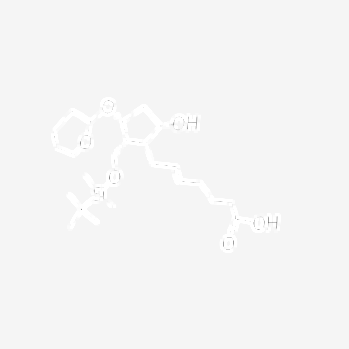 CC(C)(C)[Si](C)(C)OC[C@H]1[C@@H](CC=CCCCC(=O)O)[C@@H](O)C[C@H]1OC1CCCCO1